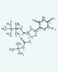 CC(C)(C)OC(=O)O[C@H]1C[C@H](n2cc(F)c(=O)[nH]c2=O)O[C@@H]1CO[Si](C)(C)C(C)(C)C